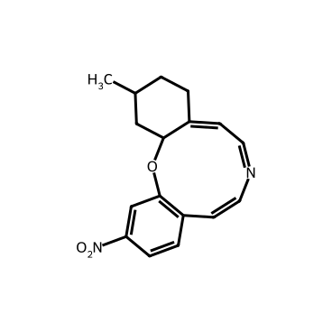 CC1CCC2=CC=NC=Cc3ccc([N+](=O)[O-])cc3OC2C1